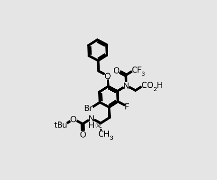 C[C@@H](Cc1c(Br)cc(OCc2ccccc2)c(N(CC(=O)O)C(=O)C(F)(F)F)c1F)NC(=O)OC(C)(C)C